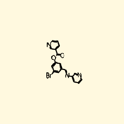 O=C(Oc1cc(Br)cc(C=Nc2cccnc2)c1)c1cccnc1